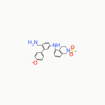 COc1ccc(-c2cc(Nc3cccc4c3CCN(S(C)(=O)=O)C4)ccc2CN)cc1